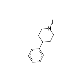 IN1CCC(c2ccccc2)CC1